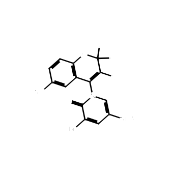 CC(=O)Nc1cc(Br)c(=O)n(C2=C(C)C(C)(C)Oc3ccc(C#N)cc32)c1